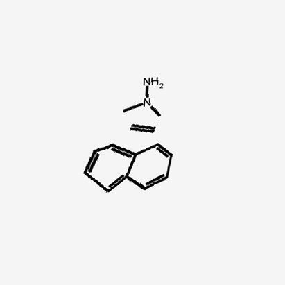 C=C.CN(C)N.c1ccc2ccccc2c1